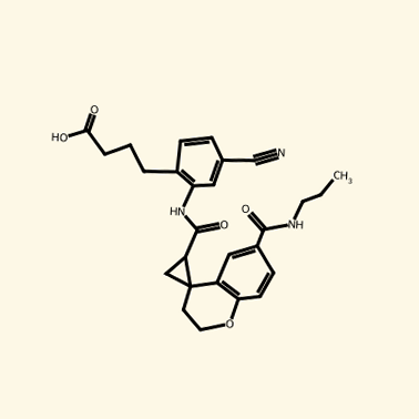 CCCNC(=O)c1ccc2c(c1)C1(CCO2)CC1C(=O)Nc1cc(C#N)ccc1CCCC(=O)O